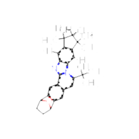 [2H]c1c2c(c([2H])c3c1nc1c4cc5c(cc4cc(C(C)(C)C)n13)C1CCC5O1)C(C)(C)C(C)(C)C2(C)C